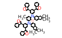 Cc1cc2c3c(c1)N(c1cc(-c4coc5ccccc45)cc(-c4coc5ccccc45)c1)c1cc4c(cc1B3c1cc3c(cc1N2c1cc(-c2coc5ccccc25)cc(-c2coc5ccccc25)c1)CC(C)(C)C3)CC(C)(C)C4